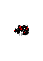 N#CC1C=C(C2=NC(C3C=CCCC3)NC(C3=C4OC5=CCCC=C5C4CC=C3)N2)C(n2c3c(c4ccccc42)C=CC2OC4C=CC=CC4C32)CC1n1c2c(c3c1C1=C(CC3)OC3C=CC=CC13)C=CCC2